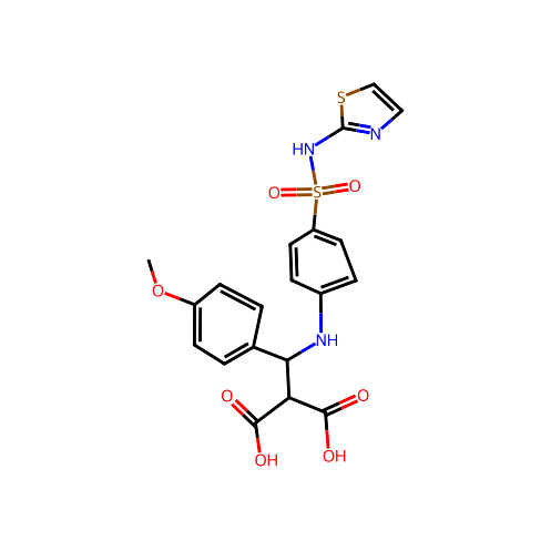 COc1ccc(C(Nc2ccc(S(=O)(=O)Nc3nccs3)cc2)C(C(=O)O)C(=O)O)cc1